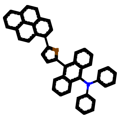 c1ccc(N(c2ccccc2)c2c3ccccc3c(-c3ccc(-c4ccc5ccc6cccc7ccc4c5c67)s3)c3ccccc23)cc1